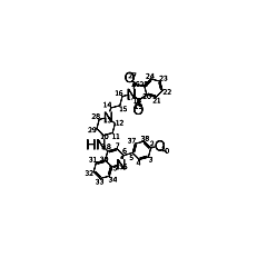 COc1ccc(-c2cc(NC3CCN(CCCN4C(=O)c5ccccc5C4=O)CC3)c3ccccc3n2)cc1